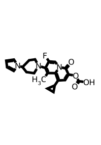 Cc1c(N2CCC(n3cccc3)CC2)c(F)cn2c(=O)c(OC(=O)O)cc(C3CC3)c12